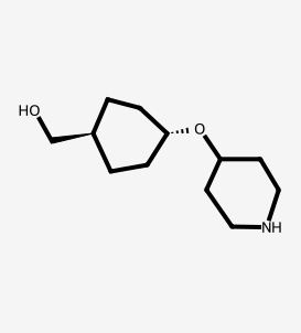 OC[C@H]1CC[C@H](OC2CCNCC2)CC1